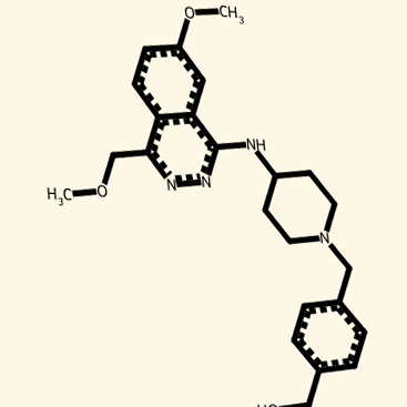 COCc1nnc(NC2CCN(Cc3ccc(CO)cc3)CC2)c2cc(OC)ccc12